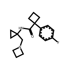 O=C(NC1(CN2CCC2)CC1)C1(c2ccc(F)cc2)CCC1